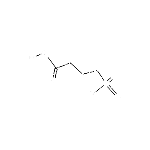 CCOC(=O)CCCS(=O)(=O)Br